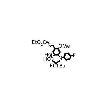 CCCCC1(CC)CN(c2ccc(F)cc2)c2cc(OC)c(CSCC(=O)OCC)cc2S(O)(O)C1